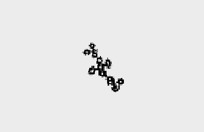 c1ccc(-c2c3ccc(-c4ccc5c(c4)nc(-c4ccccc4)n5-c4ccccn4)cc3c(-c3ccccc3)c3ccc(-c4ccc5c(c4)nc(-c4ccccn4)n5-c4ccccc4)cc23)cc1